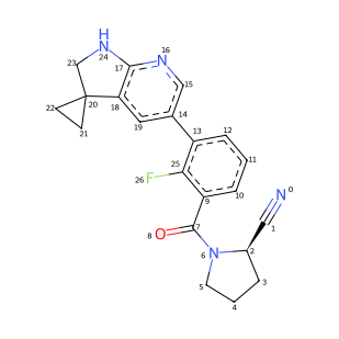 N#C[C@H]1CCCN1C(=O)c1cccc(-c2cnc3c(c2)C2(CC2)CN3)c1F